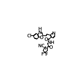 N#CC1CC(F)(F)CN1C(=O)CNC(=O)c1ccncc1/C=C/C1CNc2cc(Cl)ccc2O1